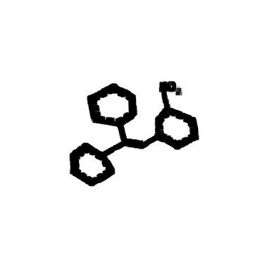 O=[N+]([O-])c1cccc(C=C(c2ccccc2)c2ccccc2)c1